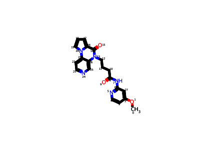 COc1ccnc(NC(=O)CCCn2c(=O)c3cccn3c3ccncc32)c1